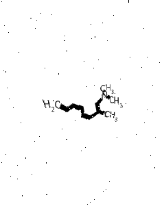 C=C/C=C\C=C/C(C)CN(C)C